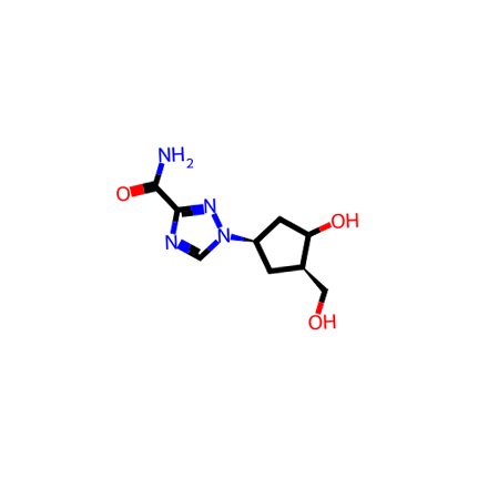 NC(=O)c1ncn([C@H]2CC(O)[C@@H](CO)C2)n1